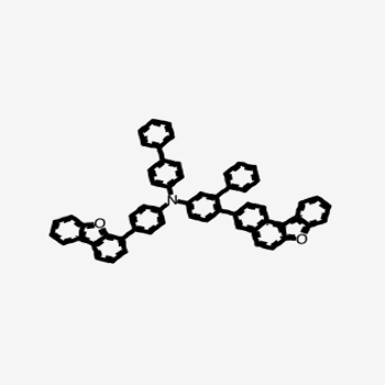 c1ccc(-c2ccc(N(c3ccc(-c4cccc5c4oc4ccccc45)cc3)c3ccc(-c4ccc5c(ccc6oc7ccccc7c65)c4)c(-c4ccccc4)c3)cc2)cc1